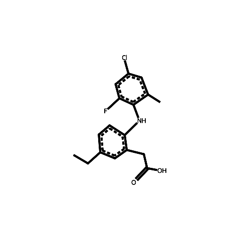 CCc1ccc(Nc2c(C)cc(Cl)cc2F)c(CC(=O)O)c1